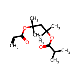 C=CC(=O)OC(C)(C)CC(C)(C)OC(=O)C(C)C